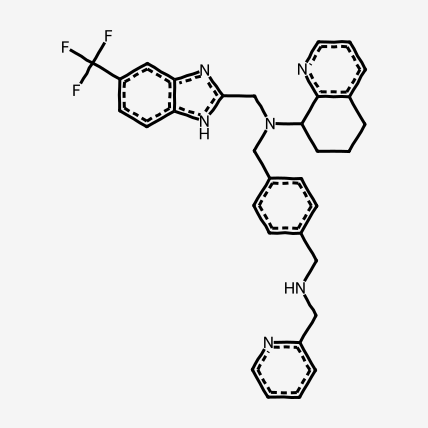 FC(F)(F)c1ccc2[nH]c(CN(Cc3ccc(CNCc4ccccn4)cc3)C3CCCc4cccnc43)nc2c1